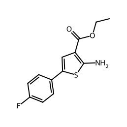 CCOC(=O)c1cc(-c2ccc(F)cc2)sc1N